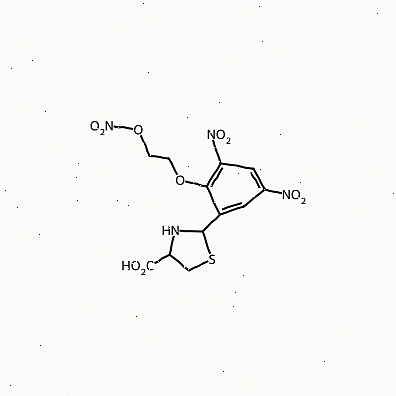 O=C(O)C1CSC(c2cc([N+](=O)[O-])cc([N+](=O)[O-])c2OCCO[N+](=O)[O-])N1